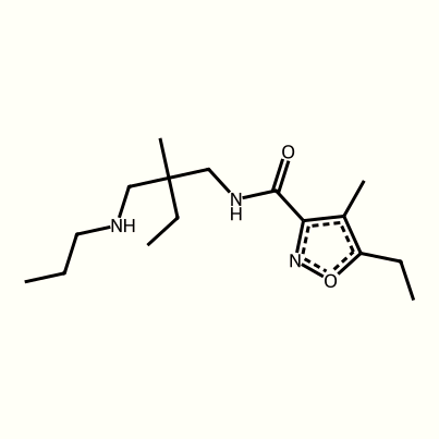 CCCNCC(C)(CC)CNC(=O)c1noc(CC)c1C